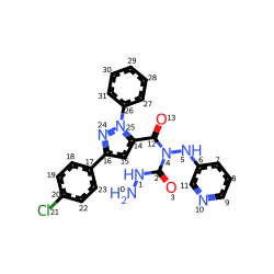 NNC(=O)N(Nc1cccnc1)C(=O)c1cc(-c2ccc(Cl)cc2)nn1-c1ccccc1